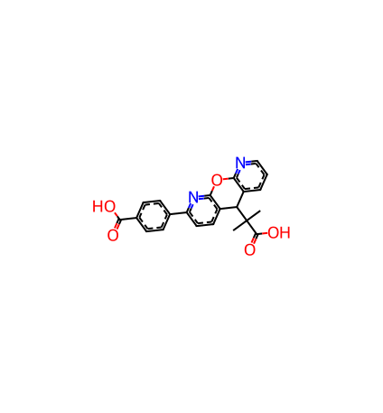 CC(C)(C(=O)O)C1c2cccnc2Oc2nc(-c3ccc(C(=O)O)cc3)ccc21